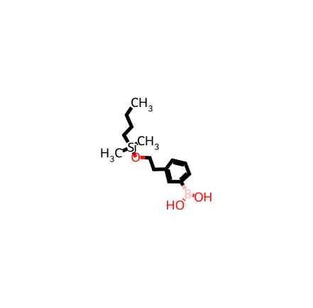 CCCC[Si](C)(C)OCCc1cccc(B(O)O)c1